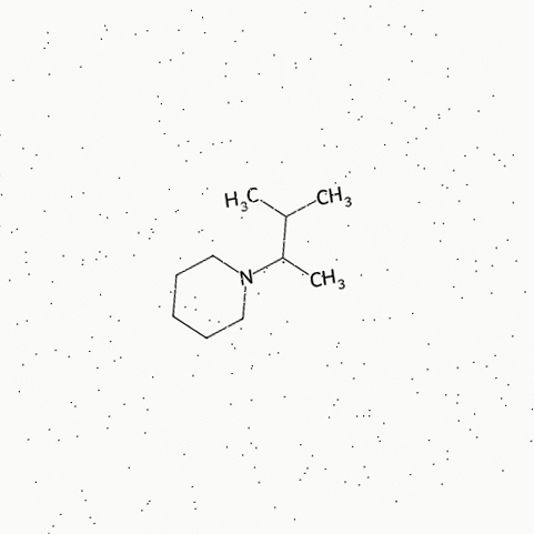 C[C](C(C)C)N1CCCCC1